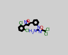 NC1=NC(C(Cl)Cl)ON1c1cccc(-c2cc(-c3c(Cl)cccc3Cl)no2)c1